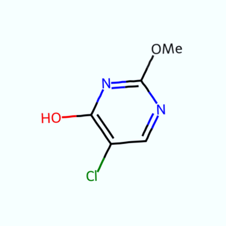 COc1ncc(Cl)c(O)n1